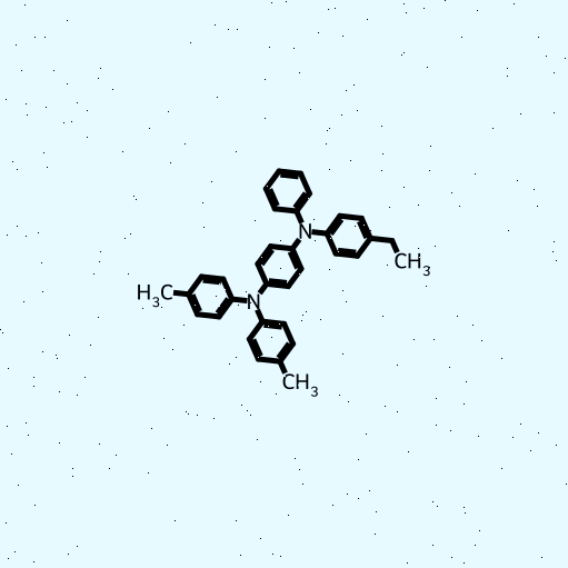 CCc1ccc(N(c2ccccc2)c2ccc(N(c3ccc(C)cc3)c3ccc(C)cc3)cc2)cc1